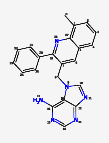 Cc1cccc2cc(Cn3cnc4ncnc(N)c43)c(-c3ccccc3)nc12